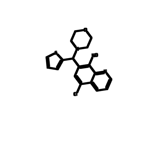 O=Nc1c(C(c2cccs2)N2CCOCC2)cc(Cl)c2cccnc12